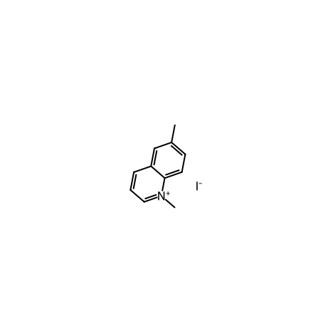 Cc1ccc2c(ccc[n+]2C)c1.[I-]